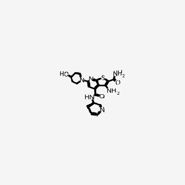 NC(=O)c1sc2nc(N3CCC(O)CC3)cc(C(=O)Nc3cccnc3)c2c1N